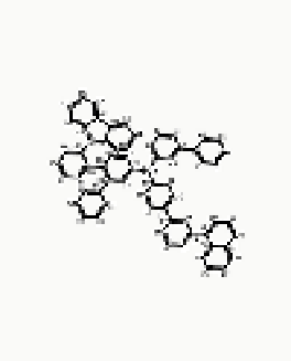 c1ccc(-c2cccc(N(c3ccc(-c4cccc(-c5cccc6ccccc56)c4)cc3)c3ccc(-c4ccccc4-n4c5ccccc5c5ccccc54)c(-c4ccccc4)c3)c2)cc1